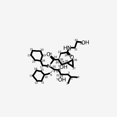 CC(C)C[C@H](O)[C@H](O)[C@H](CC1CCCCC1)N(CC1CCCCC1)C(=O)[C@@H](CC(=O)NCCO)CC1CC1